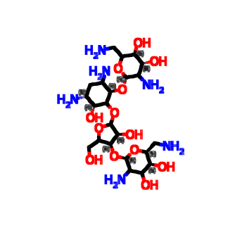 NCC1O[C@@H](O[C@@H]2C(N)C[C@@H](N)[C@@H](O)C2OC2OC(CO)[C@H](O[C@H]3O[C@@H](CN)[C@@H](O)C(O)C3N)[C@@H]2O)C(N)[C@@H](O)[C@@H]1O